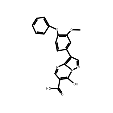 COc1cc(-c2cnn3c(O)c(C(=O)O)cnc23)ccc1Sc1ccccc1